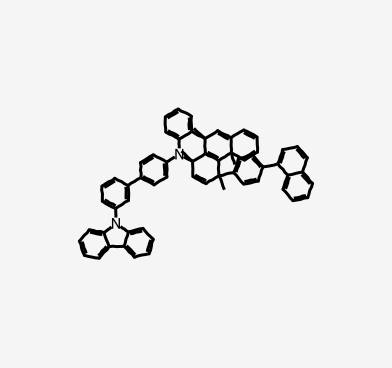 CC12C=CC=CC1=CC1(C)C3=C2C(C)(c2ccc(-c4cccc5ccccc45)cc2)C=CC3(C)N(c2ccc(-c3cccc(-n4c5ccccc5c5ccccc54)c3)cc2)c2ccccc21